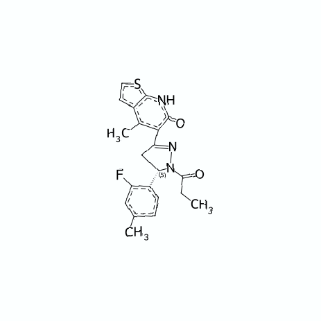 CCC(=O)N1N=C(c2c(C)c3ccsc3[nH]c2=O)C[C@H]1c1ccc(C)cc1F